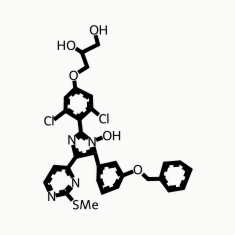 CSc1nccc(-c2nc(-c3c(Cl)cc(OCC(O)CO)cc3Cl)n(O)c2-c2cccc(OCc3ccccc3)c2)n1